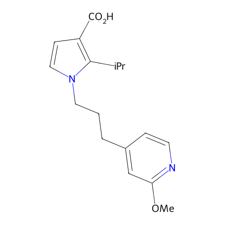 COc1cc(CCCn2ccc(C(=O)O)c2C(C)C)ccn1